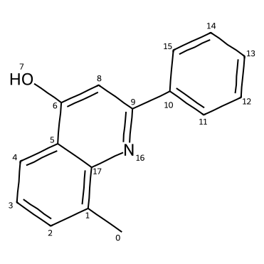 Cc1cccc2c(O)cc(-c3ccccc3)nc12